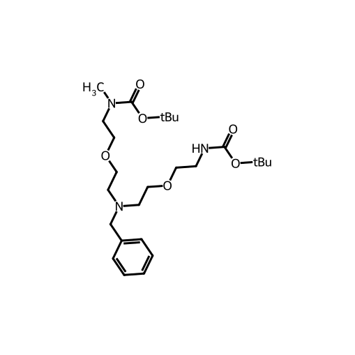 CN(CCOCCN(CCOCCNC(=O)OC(C)(C)C)Cc1ccccc1)C(=O)OC(C)(C)C